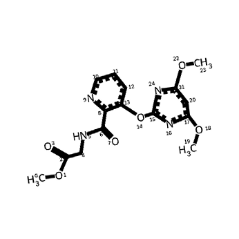 COC(=O)CNC(=O)c1ncccc1Oc1nc(OC)cc(OC)n1